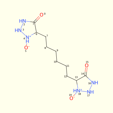 O=C1NN[NH+]([O-])C1CCCCCCC1C(=O)NN[NH+]1[O-]